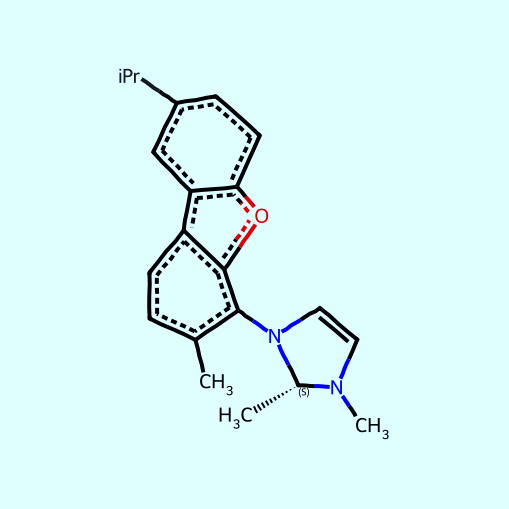 Cc1ccc2c(oc3ccc(C(C)C)cc32)c1N1C=CN(C)[C@@H]1C